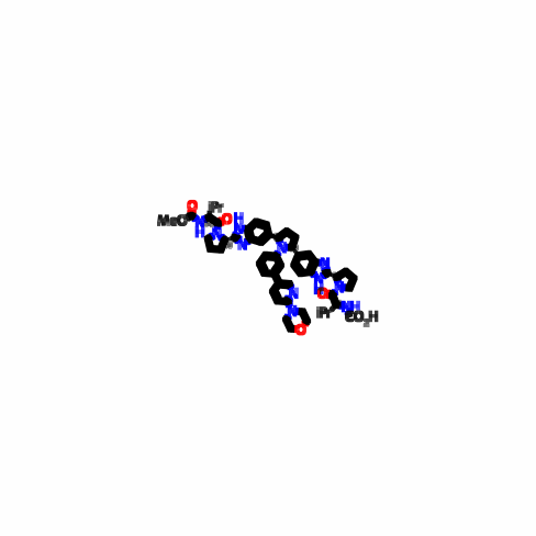 COC(=O)N[C@H](C(=O)N1CCC[C@H]1c1nc2cc([C@H]3CC[C@H](c4ccc5[nH]c([C@@H]6CCCN6C(=O)[C@@H](NC(=O)O)C(C)C)nc5c4)N3c3cccc(-c4ccc(N5CCOCC5)nc4)c3)ccc2[nH]1)C(C)C